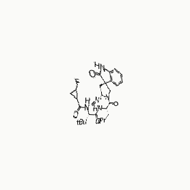 C#[N+][C@@H]1C[C@@]2(CN1C(=O)[C@H](CC(C)C)NC(=O)[C@@H](NC(=O)C1CC1F)C(C)(C)C)C(=O)Nc1ccccc12